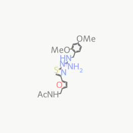 COc1ccc(CN/C(N)=N/c2nc(-c3ccc(CNC(C)=O)o3)cs2)c(OC)c1